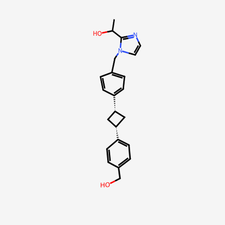 CC(O)c1nccn1Cc1ccc([C@H]2C[C@@H](c3ccc(CO)cc3)C2)cc1